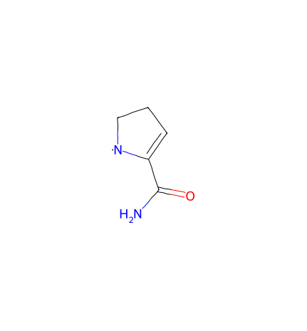 NC(=O)C1=CCC[N]1